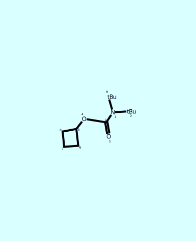 CC(C)(C)N(C(=O)OC1CCC1)C(C)(C)C